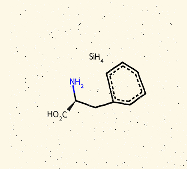 N[C@@H](Cc1ccccc1)C(=O)O.[SiH4]